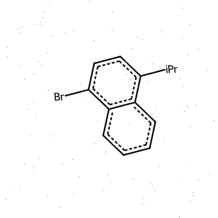 CC(C)c1ccc(Br)c2ccccc12